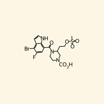 CS(=O)(=O)OCCC1CN(C(=O)O)CCN1C(=O)c1cc(F)c(Br)c2cc[nH]c12